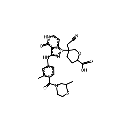 Cc1cc(Nc2nn(C3(CC#N)CCC(C(=O)O)OC3)c3cc[nH]c(=O)c23)ccc1C(=O)N1CCSC(C)C1